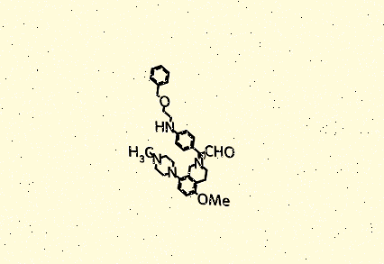 COc1ccc(N2CCN(C)CC2)c2c1CCN([C@H](C=O)c1ccc(NCCOCc3ccccc3)cc1)C2